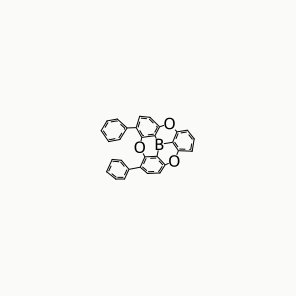 c1ccc(-c2ccc3c4c2Oc2c(-c5ccccc5)ccc5c2B4c2c(cccc2O5)O3)cc1